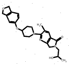 Cc1cc2c(nc1N1CCC(Oc3ccc4c(c3)COC4)CC1)CN(CC(C)O)C2=O